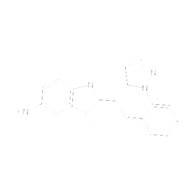 O=[N+]([O-])c1ccc2nc(CSc3ccccc3N3CCC=N3)oc2c1